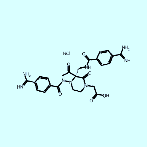 CC(=O)[C@@]1(CNC(=O)c2ccc(C(=N)N)cc2)C(=O)N(CC(=O)O)CCN1NC(=O)c1ccc(C(=N)N)cc1.Cl